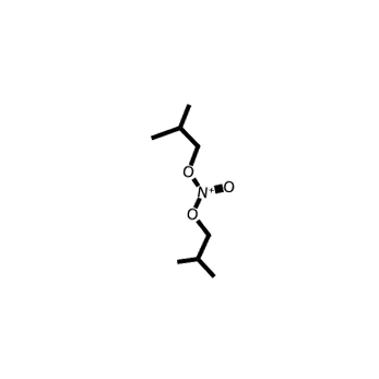 CC(C)CO[N+](=O)OCC(C)C